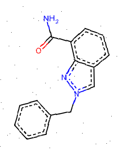 NC(=O)c1cccc2cn(Cc3ccccc3)nc12